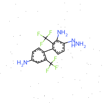 NNc1ccc(-c2ccc(N)cc2C(F)(F)F)c(C(F)(F)F)c1N